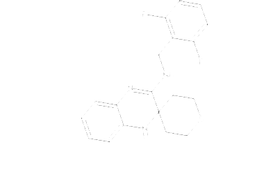 Fc1cccc(F)c1CNC1=Nc2ccccc2NC12CCSCC2